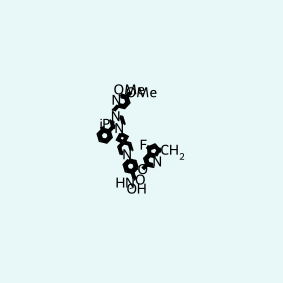 C=C1C=C(F)c2cc(Oc3cc(N4CCC5(CC4)CC(N4CCN(Cc6ccc(OC)c(OC)n6)CC4c4ccccc4C(C)C)C5)ccc3C(=O)NO)cnc21